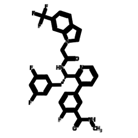 CNC(=O)c1cc(-c2cccnc2[C@H](Cc2cc(F)cc(F)c2)NC(=O)Cn2ccc3ccc(C(F)(F)F)cc32)ccc1F